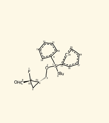 CC(C)(C)[Si](OC[C@@H]1C[C@@]1(F)C=O)(c1ccccc1)c1ccccc1